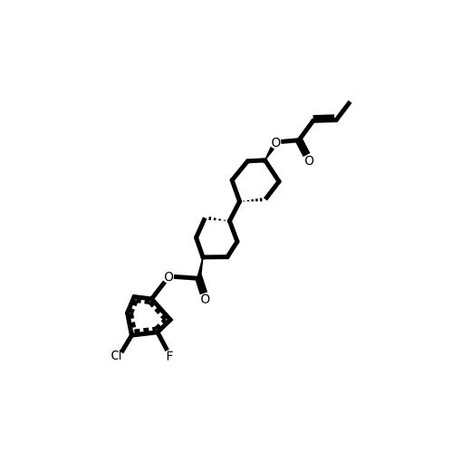 C/C=C/C(=O)O[C@H]1CC[C@H]([C@H]2CC[C@H](C(=O)Oc3ccc(Cl)c(F)c3)CC2)CC1